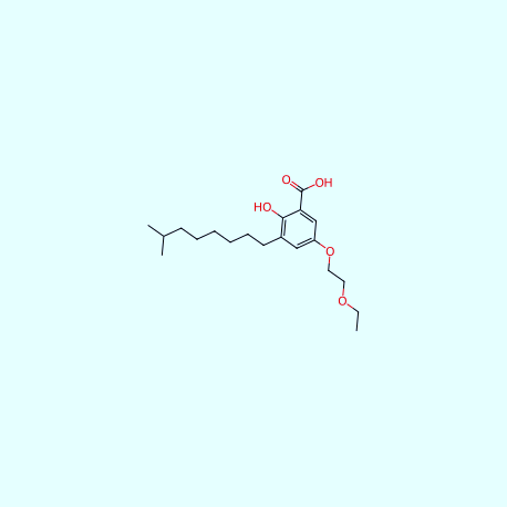 CCOCCOc1cc(CCCCCCC(C)C)c(O)c(C(=O)O)c1